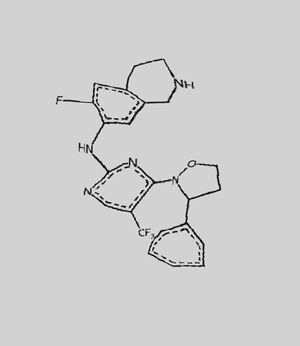 Fc1cc2c(cc1Nc1ncc(C(F)(F)F)c(N3OCCC3c3ccccc3)n1)CNCC2